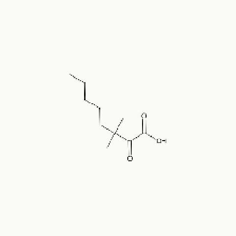 CCCCCC(C)(C)C(=O)C(=O)O